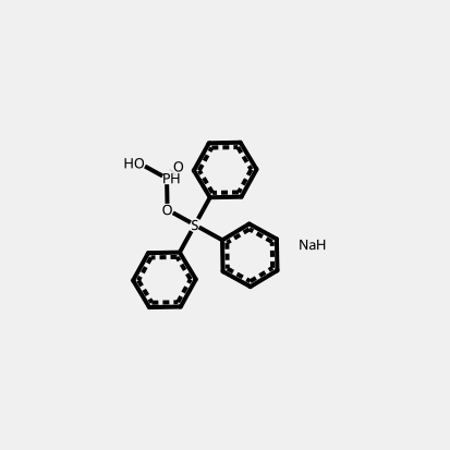 O=[PH](O)OS(c1ccccc1)(c1ccccc1)c1ccccc1.[NaH]